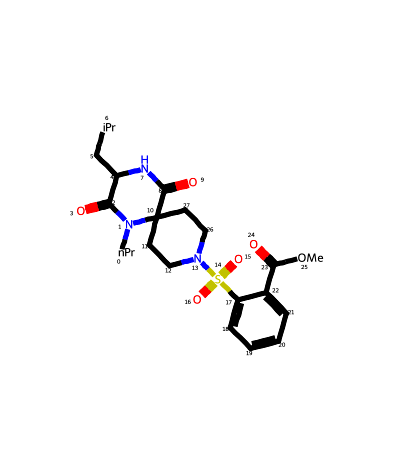 CCCN1C(=O)C(CC(C)C)NC(=O)C12CCN(S(=O)(=O)c1ccccc1C(=O)OC)CC2